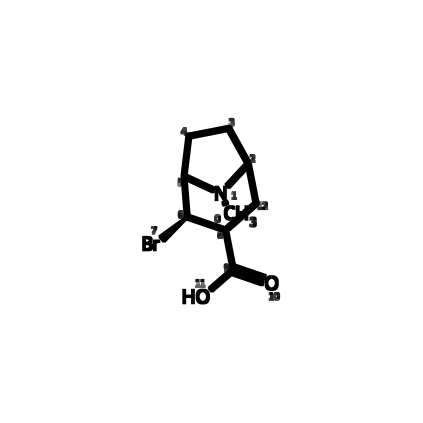 CN1C2CCC1[C@H](Br)C(C(=O)O)C2